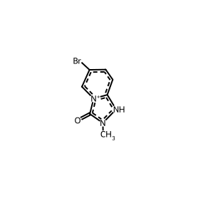 Cn1[nH]c2ccc(Br)c[n+]2c1=O